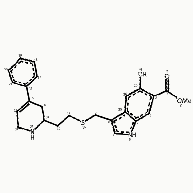 COC(=O)c1cc2[nH]cc(CSCCC3CC(c4ccccc4)=CCN3)c2cc1O